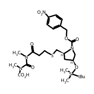 CN(C(=O)O)C(=O)N(C)C(=O)CCSC[C@@H]1C[C@H](O[Si](C)(C)C(C)(C)C)CN1C(=O)OCc1ccc([N+](=O)[O-])cc1